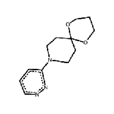 [c]1ccc(N2CCC3(CC2)OCCCO3)nn1